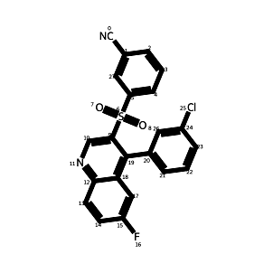 N#Cc1cccc(S(=O)(=O)c2cnc3ccc(F)cc3c2-c2cccc(Cl)c2)c1